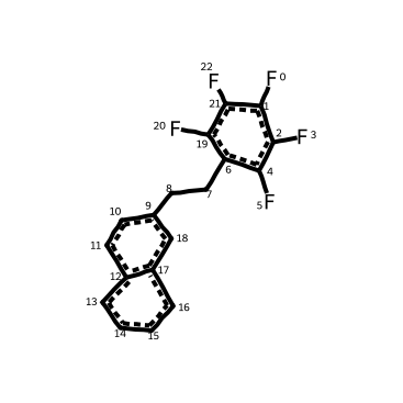 Fc1c(F)c(F)c(CCc2ccc3ccccc3c2)c(F)c1F